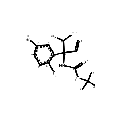 C=CC(NC(=O)OC(C)(C)C)(c1cc(Br)ccc1F)C(F)F